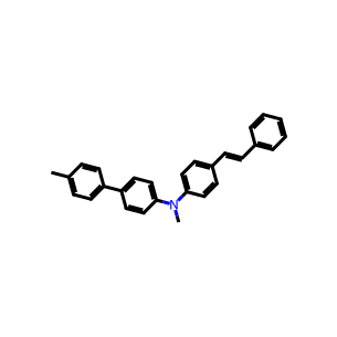 Cc1ccc(-c2ccc(N(C)c3ccc(/C=C/c4ccccc4)cc3)cc2)cc1